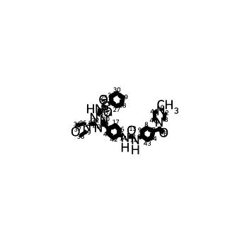 CN1CCN(C(=O)c2ccc(NC(=O)Nc3ccc(-c4nc(NS(=O)(=O)c5ccccc5)nc(N5CCOCC5)n4)cc3)cc2)CC1